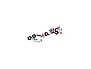 CC(C)(C)[Si](C)(C)OC(CNCc1ccc2oc(CCCCc3ccc(-c4ccccc4)c(NC(=O)O)c3)nc2c1)c1ccc(O)c2[nH]c(=O)ccc12